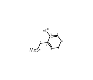 CCC1=CCCC=C1CSC